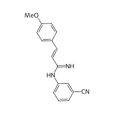 COc1ccc(/C=C/C(=N)Nc2cccc(C#N)c2)cc1